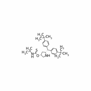 CC(C)NC(=S)O[C@H]1CN[C@@H](C(c2ccc(C(C)(C)C)cc2)c2ccc(C(C)(C)C)cc2)C1